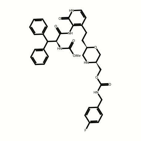 COC(=O)N[C@H](C(=O)Nc1c(CC[C@@H]2CN[C@H](COC(=O)NCc3ccc(F)cc3)CO2)cc[nH]c1=O)C(c1ccccc1)c1ccccc1